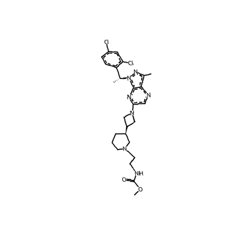 COC(=O)NCCN1CCC[C@@H](C2CN(c3cnc4c(C)nn([C@H](C)c5ccc(Cl)cc5Cl)c4n3)C2)C1